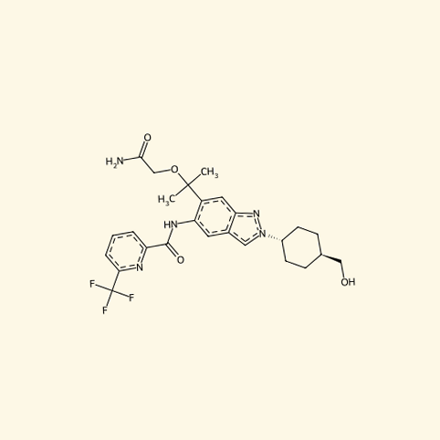 CC(C)(OCC(N)=O)c1cc2nn([C@H]3CC[C@H](CO)CC3)cc2cc1NC(=O)c1cccc(C(F)(F)F)n1